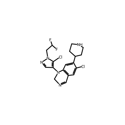 FC(F)Cn1ncc(N2CN=Cc3cc(Cl)c(C4CCNCC4)cc32)c1Cl